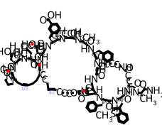 CC(=O)N1CCC[C@]12C/C=C\CCC[C@@]1(CCC/C=C/CCCOC(=O)N3CC4NC(=O)[C@H](CCCCNC(=O)CC[C@@H](C(=O)N[C@@H](C)C(N)=O)NC(=O)[C@H](Cc5csc6ccccc56)NC(=O)[C@H](Cc5ccccc5C)NC(C3)C4=C=O)NC(=O)[C@H](Cc3ccccc3)NC(=O)[C@H](C)NC(=O)C(C)(C)NC(=O)[C@H](Cc3cccc(C(=O)O)c3)NC(=O)[C@H](CC(=O)O)NC1=O)NC(O)[C@H](CC(C)(C)C)NC(=O)[C@H](CC(=O)O)NC2=O